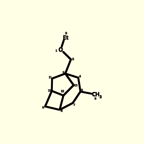 CCOCC12CC(C)CC3CC(C1)C3C2